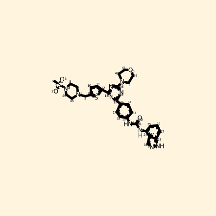 CS(=O)(=O)N1CCN(Cc2ccc(-c3nc(-c4ccc(NC(=O)Nc5cccc6[nH]ncc56)cc4)nc(N4CCOCC4)n3)s2)CC1